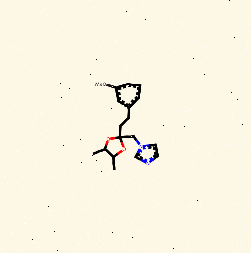 COc1cccc(CCC2(Cn3ccnc3)OC(C)C(C)O2)c1